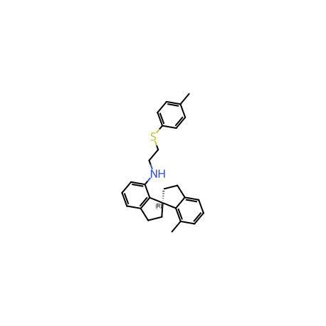 Cc1ccc(SCCNc2cccc3c2[C@]2(CCc4cccc(C)c42)CC3)cc1